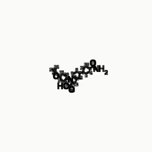 NC(=O)c1ccc(-c2ccc3c(c2)cc(C(=O)O)n3-c2ccc(OC3CC3)cc2)cc1